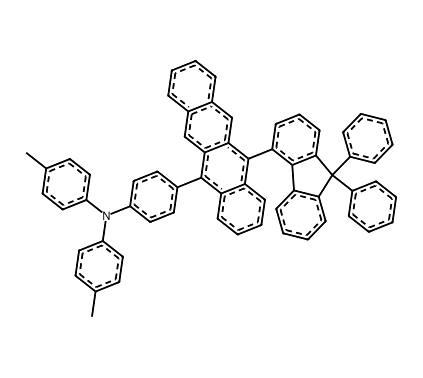 Cc1ccc(N(c2ccc(C)cc2)c2ccc(-c3c4ccccc4c(-c4cccc5c4-c4ccccc4C5(c4ccccc4)c4ccccc4)c4cc5ccccc5cc34)cc2)cc1